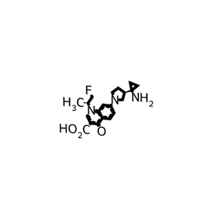 C[C@H](CF)n1cc(C(=O)O)c(=O)c2ccc(N3CC[C@@H](C4(N)CC4)C3)cc21